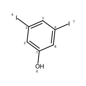 Oc1cc(I)cc(I)c1